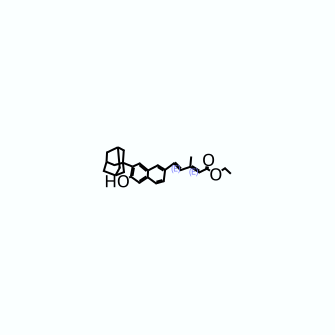 CCOC(=O)/C=C(C)/C=C/c1ccc2cc(O)c(C34CC5CC(CC(C5)C3)C4)cc2c1